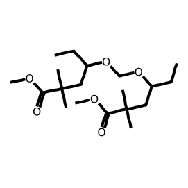 CCC(CC(C)(C)C(=O)OC)OCOC(CC)CC(C)(C)C(=O)OC